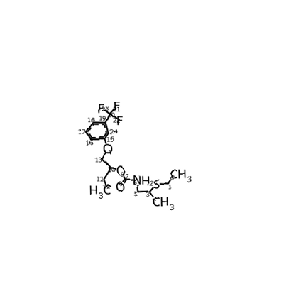 CCSC(C)CNC(=O)OC(CC)COc1cccc(C(F)(F)F)c1